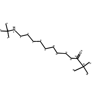 CC(C)(C)NCCCCCCCCCC(=O)C(C)(C)C